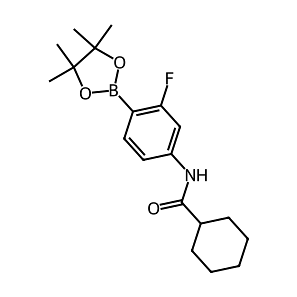 CC1(C)OB(c2ccc(NC(=O)C3CCCCC3)cc2F)OC1(C)C